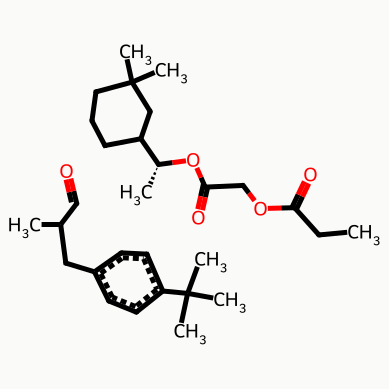 CC(C=O)Cc1ccc(C(C)(C)C)cc1.CCC(=O)OCC(=O)O[C@H](C)C1CCCC(C)(C)C1